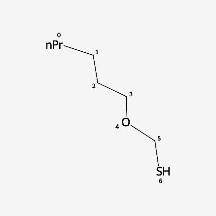 [CH2]CCCCCOCS